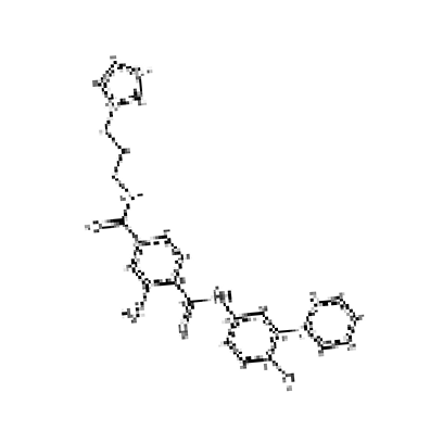 Cc1cc(C(=O)NCCCn2ccnc2)ccc1C(=O)Nc1ccc(Cl)c(-c2ccccn2)c1